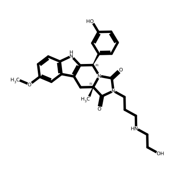 COc1ccc2[nH]c3c(c2c1)C[C@@]1(C)C(=O)N(CCCNCCO)C(=O)N1[C@@H]3c1cccc(O)c1